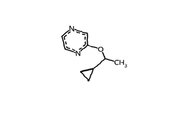 CC(Oc1cnccn1)C1CC1